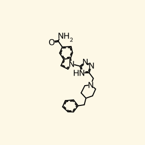 NC(=O)c1ccc2c(ccn2-c2nnc(CN3CCC(Cc4ccccc4)CC3)[nH]2)c1